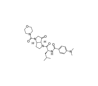 CC(C)C[C@H](NC(=O)c1ccc(N(C)C)cc1)C(=O)N1CC[C@@H]2[C@H]1C(=O)CN2C(=O)N1CCOCC1